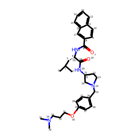 CC(C)C[C@H](NC(=O)c1ccc2ccccc2c1)C(=O)N[C@H]1CCN(Cc2ccc(OCCCN(C)C)cc2)C1